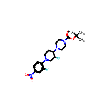 CC(C)(C)OC(=O)N1CCN(C2CCN(c3ccc([N+](=O)[O-])cc3F)CC2F)CC1